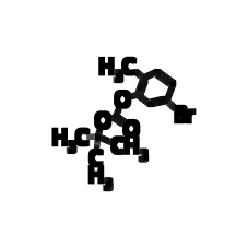 Cc1ccc(Br)cc1OC(=O)OC(C)(C)C